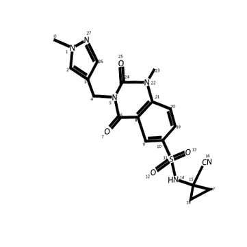 Cn1cc(Cn2c(=O)c3cc(S(=O)(=O)NC4(C#N)CC4)ccc3n(C)c2=O)cn1